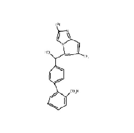 CCCc1cn2c(C(O)c3ccc(-c4ccccc4C(=O)O)cc3)cc(C(F)(F)F)cc2n1